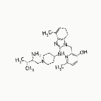 CC1=CCCc2c1nc(NC1CCN(CC(N)C(C)C)CC1)n2Cc1nc(C)ccc1O